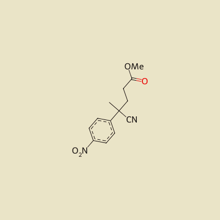 COC(=O)CCC(C)(C#N)c1ccc([N+](=O)[O-])cc1